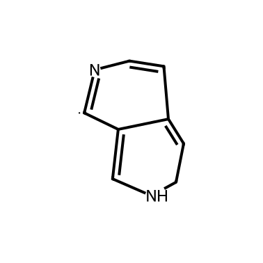 [c]1nccc2c1=CNCC=2